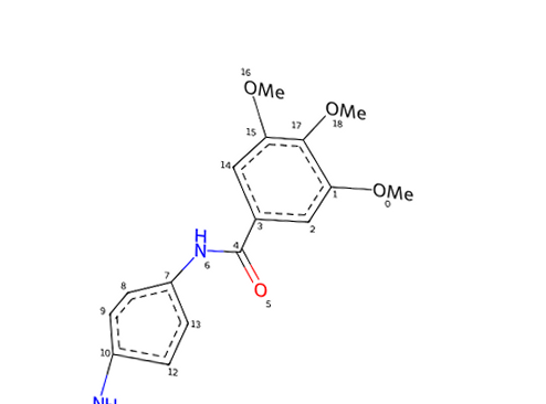 COc1cc(C(=O)Nc2ccc(N)cc2)cc(OC)c1OC